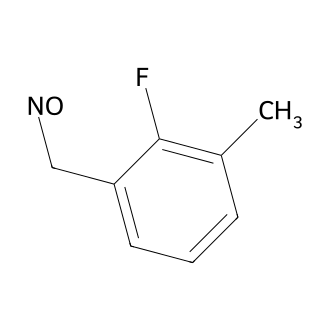 Cc1cccc(CN=O)c1F